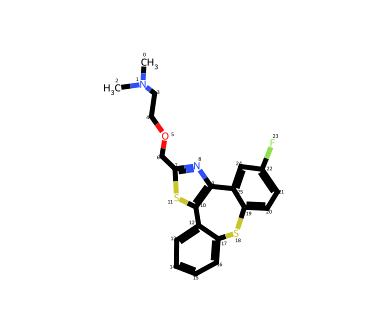 CN(C)CCOCc1nc2c(s1)-c1ccccc1Sc1ccc(F)cc1-2